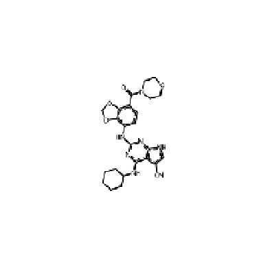 N#Cc1c[nH]c2nc(Nc3ccc(C(=O)N4CCOCC4)c4c3OCO4)nc(NC3CCCCC3)c12